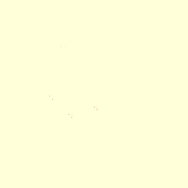 Brc1cccc(Nc2ncnc3cc4c(cc23)OCCO4)c1